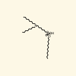 CCCCCCCCCCCCOP(=O)(O)OCCCCCCN(CCCCCCCC)CCCCCCCC